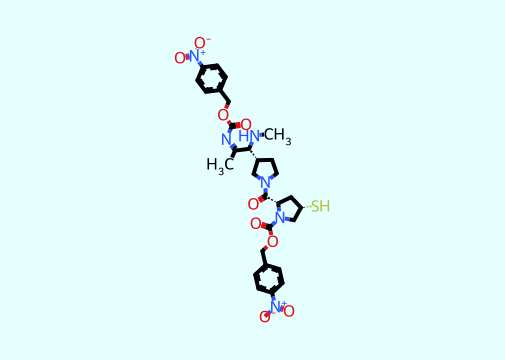 CNC(C(C)=NC(=O)OCc1ccc([N+](=O)[O-])cc1)[C@@H]1CCN(C(=O)[C@@H]2C[C@H](S)CN2C(=O)OCc2ccc([N+](=O)[O-])cc2)C1